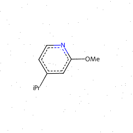 COc1cc(C(C)C)c[c]n1